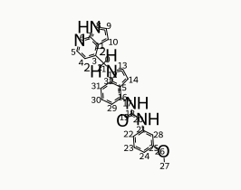 [2H]C([2H])(c1ccnc2[nH]ccc12)n1ccc2c(NC(=O)Nc3cccc(OC)c3)cccc21